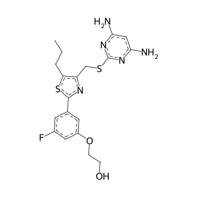 CCCc1sc(-c2cc(F)cc(OCCO)c2)nc1CSc1nc(N)cc(N)n1